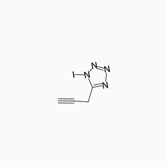 C#CCc1nnnn1I